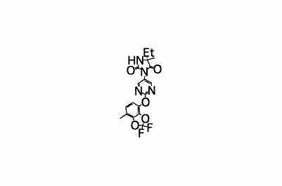 CC[C@@]1(C)NC(=O)N(c2cnc(Oc3ccc(C)c4c3OC(F)(F)O4)nc2)C1=O